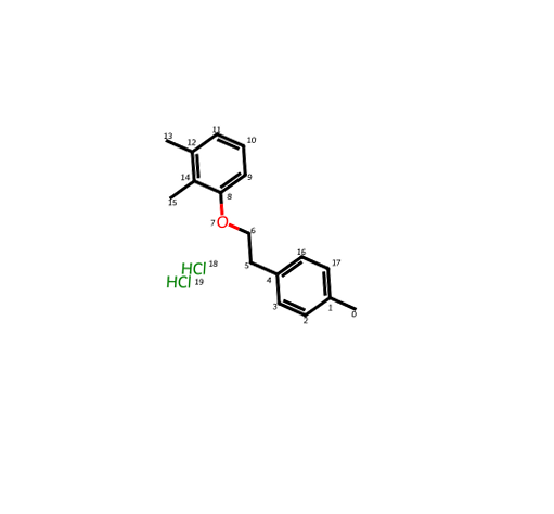 Cc1ccc(CCOc2cccc(C)c2C)cc1.Cl.Cl